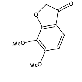 COc1ccc2c(c1OC)OCC2=O